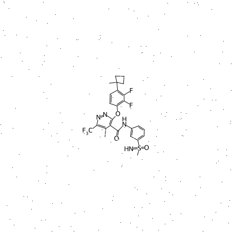 Cc1c(C(F)(F)F)nnc(Oc2ccc(C3(C)CCC3)c(F)c2F)c1C(=O)Nc1cccc(S(C)(=N)=O)c1